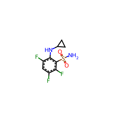 NS(=O)(=O)c1c(F)c(F)cc(F)c1NC1CC1